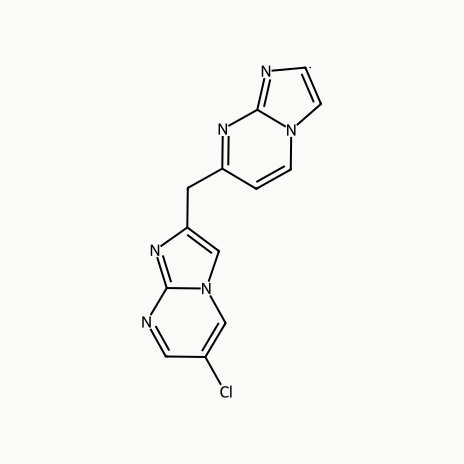 Clc1cnc2nc(Cc3ccn4c[c]nc4n3)cn2c1